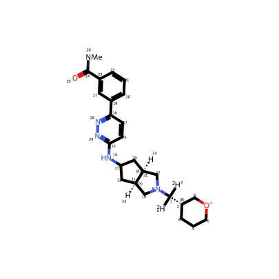 [2H]C([2H])([C@H]1CCCOC1)N1C[C@H]2CC(Nc3ccc(-c4cccc(C(=O)NC)c4)nn3)C[C@H]2C1